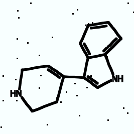 [c]1ccc2[nH]cc(C3=CCNCC3)c2c1